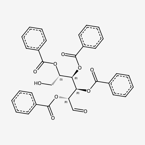 O=C[C@H](OC(=O)c1ccccc1)[C@H](OC(=O)c1ccccc1)[C@H](OC(=O)c1ccccc1)[C@H](CO)OC(=O)c1ccccc1